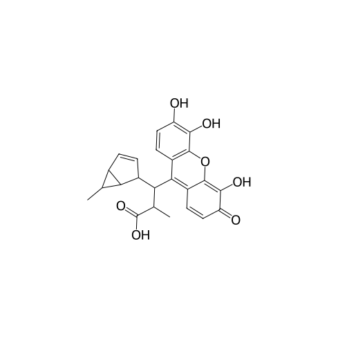 CC(C(=O)O)C(c1c2ccc(=O)c(O)c-2oc2c(O)c(O)ccc12)C1C=CC2C(C)C21